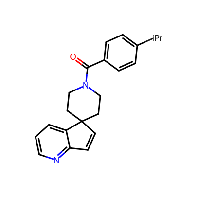 CC(C)c1ccc(C(=O)N2CCC3(C=Cc4ncccc43)CC2)cc1